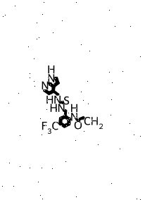 C=CC(=O)Nc1ccc(C(F)(F)F)cc1CNC(=S)NCc1ccnc2[nH]ccc12